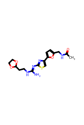 CC(=O)NCc1ccc(-c2csc(/N=C(\N)NCCC3OCCO3)n2)o1